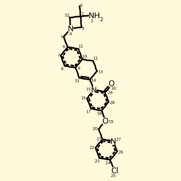 CC1(N)CN(Cc2ccc3c(c2)CCC(n2ccc(OCc4ccc(Cl)cn4)cc2=O)=C3)C1